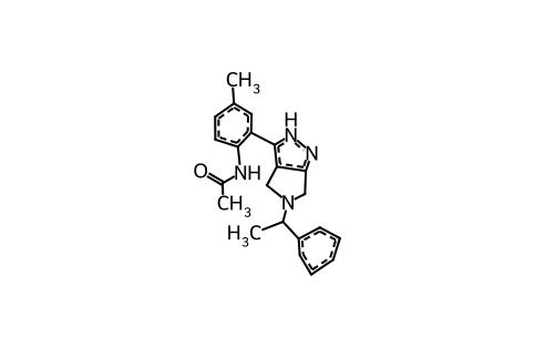 CC(=O)Nc1ccc(C)cc1-c1[nH]nc2c1CN(C(C)c1ccccc1)C2